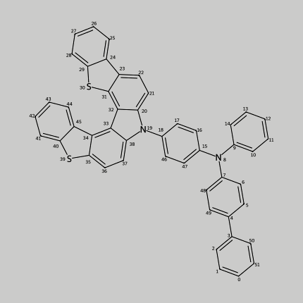 c1ccc(-c2ccc(N(c3ccccc3)c3ccc(-n4c5ccc6c7ccccc7sc6c5c5c6c(ccc54)sc4ccccc46)cc3)cc2)cc1